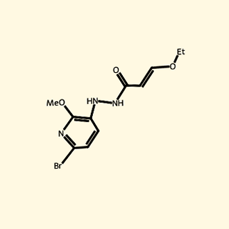 CCOC=CC(=O)NNc1ccc(Br)nc1OC